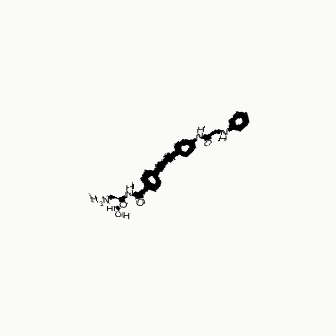 NC[C@@H](NC(=O)c1ccc(C#CC#Cc2ccc(NC(=O)CNc3ccccc3)cc2)cc1)ONO